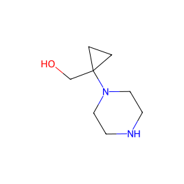 OCC1(N2CCNCC2)CC1